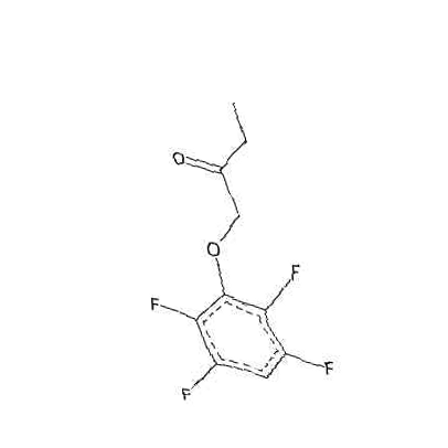 CCC(=O)COc1c(F)c(F)cc(F)c1F